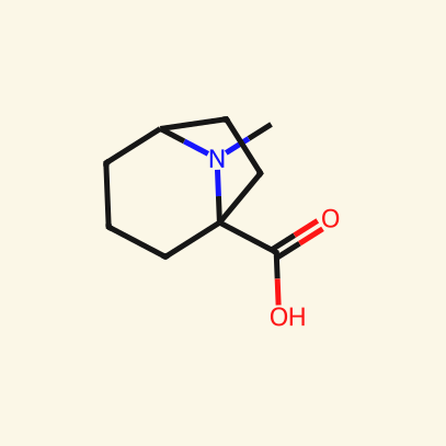 CN1C2CCCC1(C(=O)O)CC2